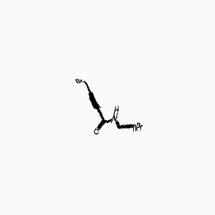 CCCCNC(=O)C#CBr